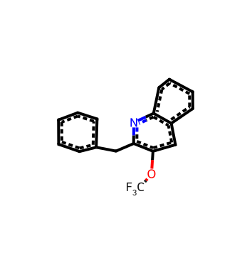 FC(F)(F)Oc1cc2ccccc2nc1Cc1ccccc1